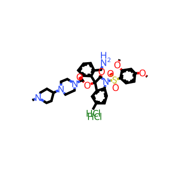 COc1ccc(S(=O)(=O)N2C(=O)C(OC(=O)N3CCN(C4CCN(C)CC4)CC3)(c3ccccc3CN)c3cc(C)ccc32)c(OC)c1.Cl.Cl